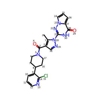 Cc1c(C(=O)N2CCC(c3cccnc3Cl)CC2)cnn1-c1nn2cccc2c(=O)[nH]1